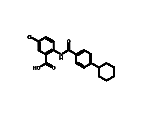 O=C(Nc1ccc(Cl)cc1C(=O)O)c1ccc(C2CCCCC2)cc1